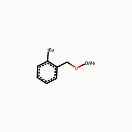 COOCc1ccccc1C(C)(C)C